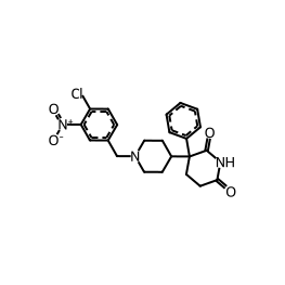 O=C1CCC(c2ccccc2)(C2CCN(Cc3ccc(Cl)c([N+](=O)[O-])c3)CC2)C(=O)N1